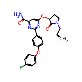 C=CCN1CC[C@H](Oc2cc(C(N)=O)nc(-c3ccc(Oc4ccc(F)cc4)cc3)n2)C1=O